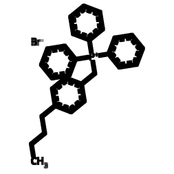 CCCCc1ccc(C[P+](c2ccccc2)(c2ccccc2)c2ccccc2)cc1.[Br-]